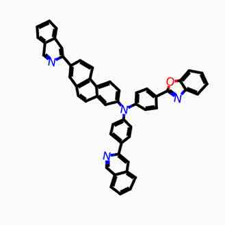 c1ccc2cc(-c3ccc(N(c4ccc(-c5nc6ccccc6o5)cc4)c4ccc5c(ccc6cc(-c7cc8ccccc8cn7)ccc65)c4)cc3)ncc2c1